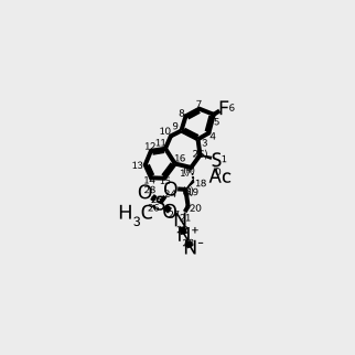 CC(=O)S[C@@H]1c2cc(F)ccc2Cc2ccccc2[C@H]1C[C@@H](CN=[N+]=[N-])OS(C)(=O)=O